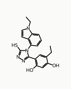 CCc1cc(-c2nnc(S)n2-c2cccc3c2ccn3CC)c(O)cc1O